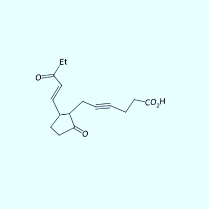 CCC(=O)/C=C/C1CCC(=O)C1CC#CCCC(=O)O